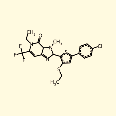 CCSc1cc(-c2ccc(Cl)cc2)sc1C1N=C2C=C(C(F)(F)F)N(CC)C(=O)C2N1C